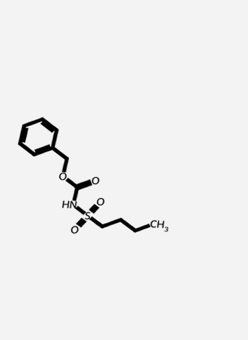 CCCCS(=O)(=O)NC(=O)OCc1ccccc1